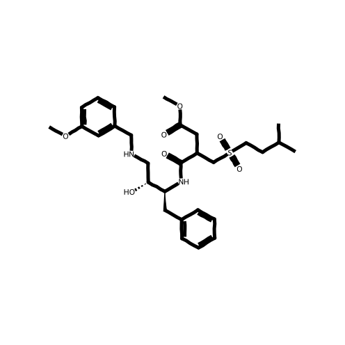 COC(=O)CC(CS(=O)(=O)CCC(C)C)C(=O)N[C@@H](Cc1ccccc1)[C@H](O)CNCc1cccc(OC)c1